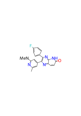 CNc1cc(-c2nc3ccc(=O)[nH]c3nc2-c2ccc(F)cc2)cc(C)n1